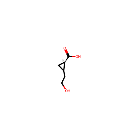 O=C(O)[C@@H]1CC1CCO